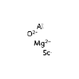 [Al].[Mg+2].[O-2].[Sc]